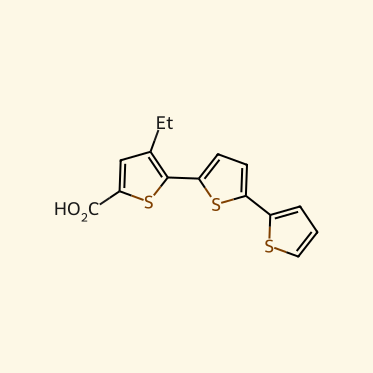 CCc1cc(C(=O)O)sc1-c1ccc(-c2cccs2)s1